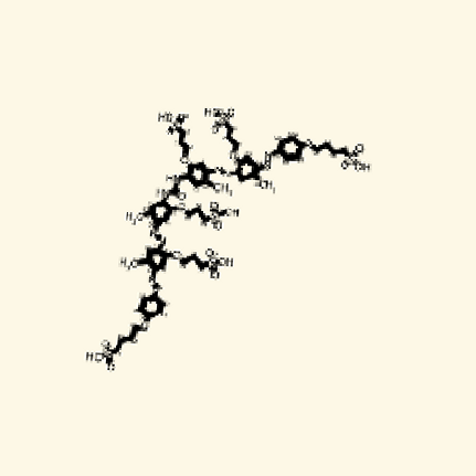 Cc1cc(N=Nc2cc(OCCCS(=O)(=O)O)c(NC(=O)Nc3cc(C)c(N=Nc4cc(C)c(N=Nc5ccc(OCCCCS(=O)(=O)O)cc5)cc4OCCCS(=O)(=O)O)cc3OCCCS(=O)(=O)O)cc2C)c(OCCCS(=O)(=O)O)cc1N=Nc1ccc(OCCCCS(=O)(=O)O)cc1